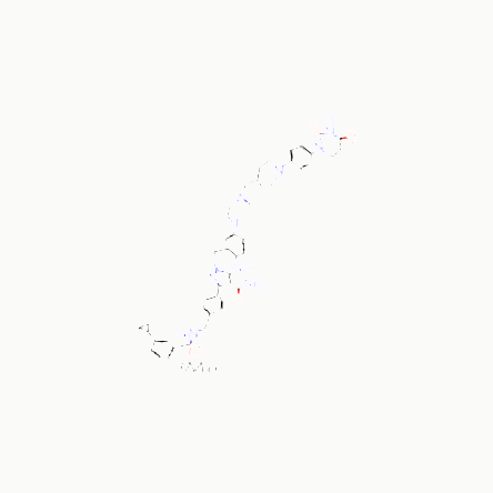 COc1ccc(C2CC2)cc1C(=O)NCc1ccc(-c2nn3c(c2C(N)=O)Nc2ccc(N4CCN(CC5CCN(c6ccc(N7CCC(=O)NC7=O)cc6)CC5)CC4)cc2CC3)cc1